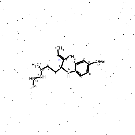 C/C=C(\C)C(CCN(C)NNC(C)C)Nc1ccc(OC)cc1